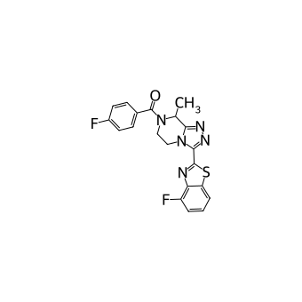 CC1c2nnc(-c3nc4c(F)cccc4s3)n2CCN1C(=O)c1ccc(F)cc1